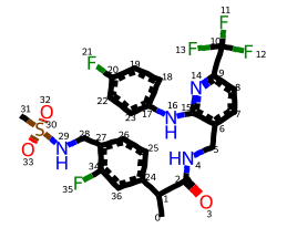 CC(C(=O)NCc1ccc(C(F)(F)F)nc1Nc1ccc(F)cc1)c1ccc(CNS(C)(=O)=O)c(F)c1